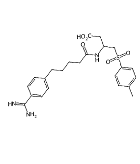 Cc1ccc(S(=O)(=O)CC(CC(=O)O)NC(=O)CCCCc2ccc(C(=N)N)cc2)cc1